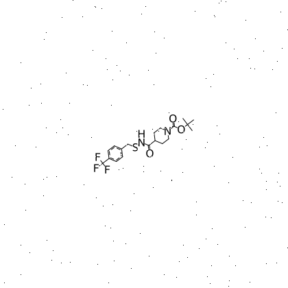 CC(C)(C)OC(=O)N1CCC(C(=O)NSCc2ccc(C(F)(F)F)cc2)CC1